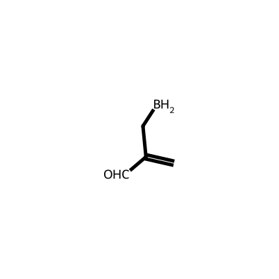 BCC(=C)C=O